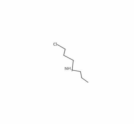 CCCCCCCCl.N